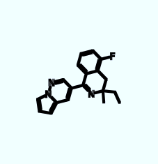 CCC1(C)Cc2c(F)cccc2C(c2cnn3cccc3c2)=N1